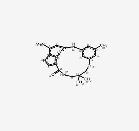 CNc1cc2nn3c(cnc13)C(=O)NCC(C)(C)COc1cc(C)cc(c1)N2